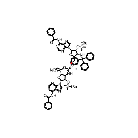 CC(C)(C)[Si](C)(C)O[C@@H]1[C@H](N/S(OCCC#N)=[PH2]/OC[C@H]2O[C@@H](n3cnc4c(NC(=O)c5ccccc5)ncnc43)[C@H](O[Si](C)(C)C(C)(C)C)[C@@H]2NC(c2ccccc2)(c2ccccc2)c2ccccc2)[C@@H](CO)O[C@H]1n1cnc2c(NC(=O)c3ccccc3)ncnc21